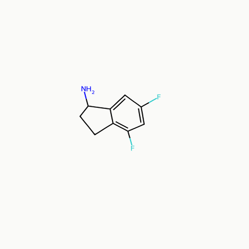 NC1CCc2c(F)cc(F)cc21